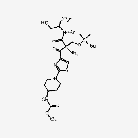 CC(=O)N(C(=O)[C@@](N)(CO[Si](C)(C)C(C)(C)C)C(=O)c1csc(N2CCC(NC(=O)OC(C)(C)C)CC2)n1)[C@@H](CO)C(=O)O